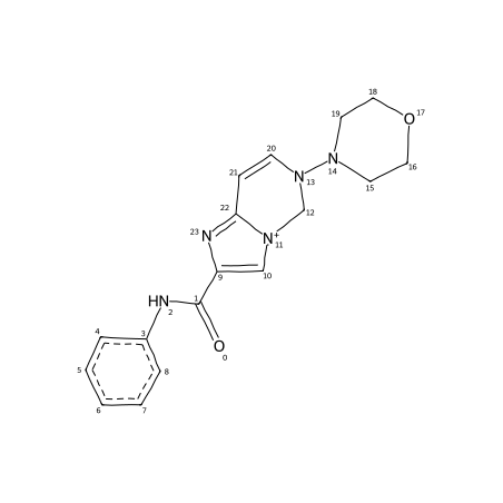 O=C(Nc1ccccc1)C1=C[N+]2CN(N3CCOCC3)C=CC2=N1